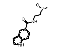 C[S+]([O-])CCNC(=O)c1ccc2[nH]ccc2c1